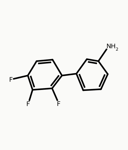 Nc1cccc(-c2ccc(F)c(F)c2F)c1